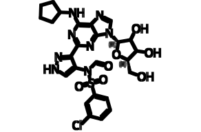 O=CN(c1c[nH]nc1-c1nc(NC2CCCC2)c2ncn([C@@H]3O[C@H](CO)C(O)C3O)c2n1)S(=O)(=O)c1cccc(Cl)c1